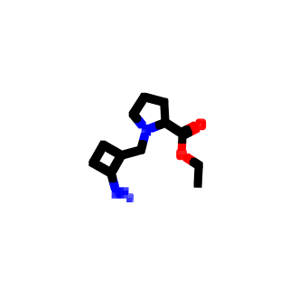 CCOC(=O)C1CCCN1CC1CCC1N